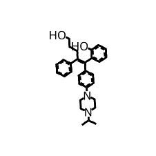 CC(C)N1CCN(c2ccc(/C(=C(/CCCO)c3ccccc3)c3ccccc3O)cc2)CC1